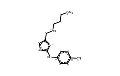 COCCCNCc1cnc(Oc2ccc(C#N)cc2)s1